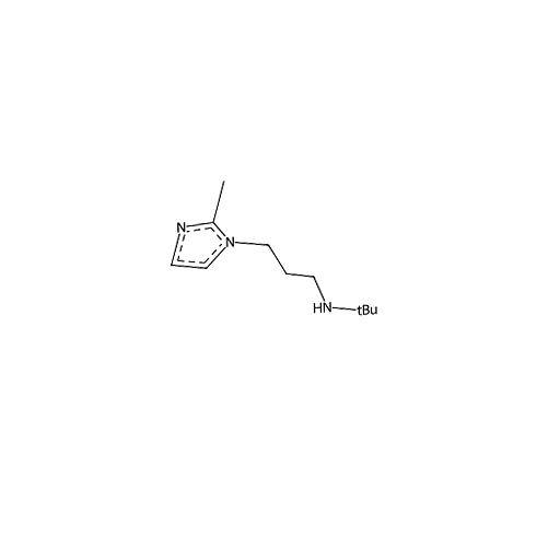 Cc1nccn1CCCNC(C)(C)C